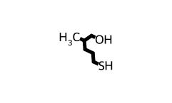 CC(CO)CCCS